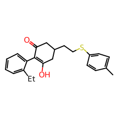 CCc1ccccc1C1=C(O)CC(CCSc2ccc(C)cc2)CC1=O